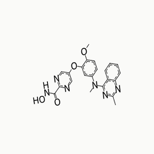 COc1ccc(N(C)c2nc(C)nc3ccccc23)cc1Oc1cnc(C(=O)NO)nc1